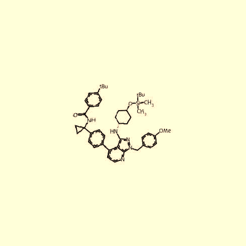 COc1ccc(Cn2nc(N[C@H]3CC[C@H](O[Si](C)(C)C(C)(C)C)CC3)c3c(-c4ccc(C5(NC(=O)c6ccc(C(C)(C)C)cc6)CC5)cc4)ccnc32)cc1